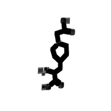 NC(CC1CCN(CC(=O)O)CC1)C(=O)O